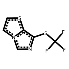 FC(F)(F)Sc1ncn2ccsc12